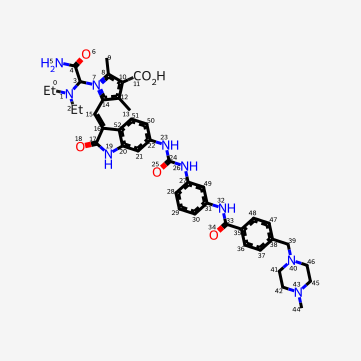 CCN(CC)C(C(N)=O)n1c(C)c(C(=O)O)c(C)c1C=C1C(=O)Nc2cc(NC(=O)Nc3cccc(NC(=O)c4ccc(CN5CCN(C)CC5)cc4)c3)ccc21